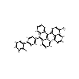 CCc1ccc(-c2c3ccccc3c(-c3ccc(-c4cccnc4C)cc3)c3ccccc23)c2ccccc12